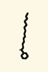 CCCCCCCCCCCCC[CH]C1CCCCC1